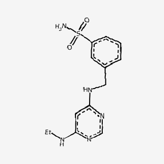 CCNc1cc(NCc2cccc(S(N)(=O)=O)c2)ncn1